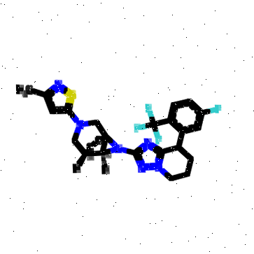 Cc1cc(N2C[C@@H]3CCC4(C2)[C@H]3N4c2nc3n(n2)CCCC3c2cc(F)ccc2C(F)(F)F)sn1